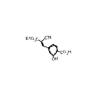 CCOC(=O)/C(C#N)=C/c1ccc(C(=O)O)c(O)c1